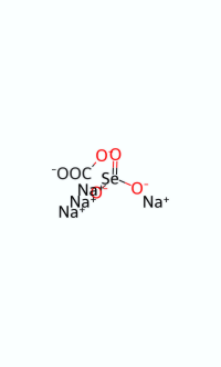 O=C([O-])[O-].O=[Se]([O-])[O-].[Na+].[Na+].[Na+].[Na+]